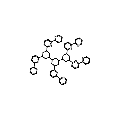 c1ccc(-c2cccc(C3CC(c4cccc(-c5ccccn5)n4)CC(C4CC(c5cccc(-c6ccccn6)n5)CC(C5CC(c6cccc(-c7ccccn7)n6)CC(c6cccc(-c7ccccn7)n6)C5)C4)C3)n2)nc1